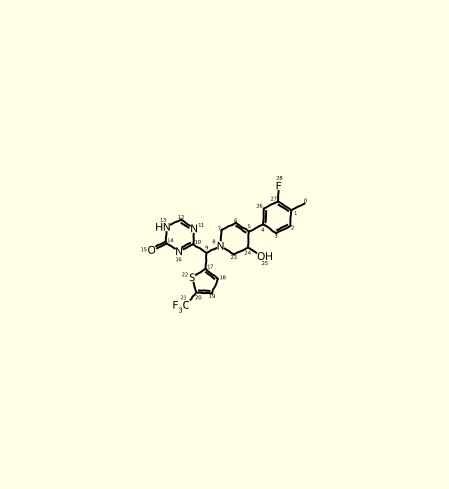 Cc1ccc(C2=CCN(C(c3nc[nH]c(=O)n3)c3ccc(C(F)(F)F)s3)CC2O)cc1F